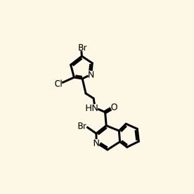 O=C(NCCc1ncc(Br)cc1Cl)c1c(Br)ncc2ccccc12